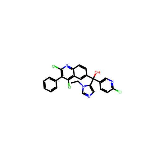 CCn1cncc1C(O)(c1ccc(Cl)nc1)c1ccc2nc(Cl)c(-c3ccccc3)c(Cl)c2c1